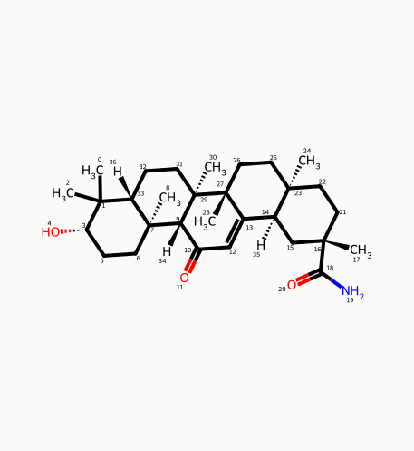 CC1(C)[C@@H](O)CC[C@]2(C)[C@H]3C(=O)C=C4[C@@H]5C[C@@](C)(C(N)=O)CC[C@]5(C)CC[C@@]4(C)[C@]3(C)CC[C@@H]12